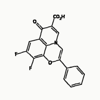 O=C(O)c1cn2c3c(c(F)c(F)cc3c1=O)OC(c1ccccc1)=C2